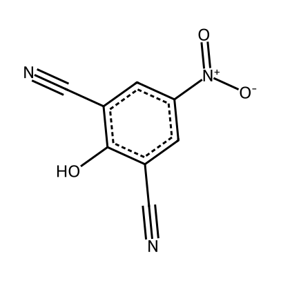 N#Cc1cc([N+](=O)[O-])cc(C#N)c1O